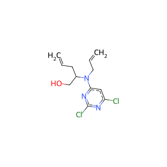 C=CCC(CO)N(CC=C)c1cc(Cl)nc(Cl)n1